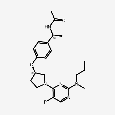 CCCN(C)c1ncc(F)c(N2CC[C@@H](Oc3ccc([C@H](C)NC(C)=O)cc3)C2)n1